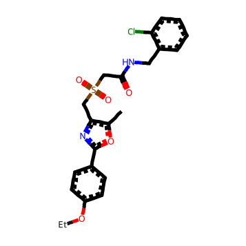 CCOc1ccc(-c2nc(CS(=O)(=O)CC(=O)NCc3ccccc3Cl)c(C)o2)cc1